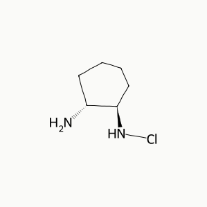 N[C@@H]1CCCC[C@H]1NCl